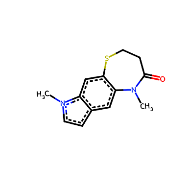 CN1C(=O)CCSc2cc3c(ccn3C)cc21